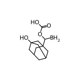 BC(OC(=O)O)C12CC3CC(CC(O)(C3)C1)C2